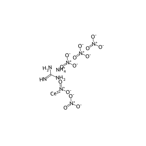 N=C(N)N.O=[N+]([O-])[Ce+3].O=[N+]([O-])[O-].O=[N+]([O-])[O-].O=[N+]([O-])[O-].O=[N+]([O-])[O-].[NH4+]